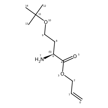 C=CCOC(=O)[C@@H](N)CCOC(C)(C)C